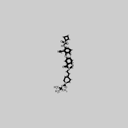 CC(C)(C)OC(=O)N1CCC(CCn2cnc3ccc(Oc4c(F)ccc(NS(=O)(=O)C5CCC5)c4C#N)cc3c2=O)CC1